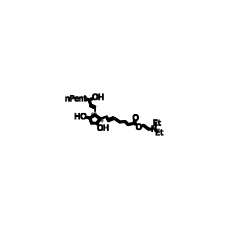 CCCCCC(O)C=C[C@H]1C(O)CC(O)[C@@H]1CC=CCCCC(=O)OCCN(CC)CC